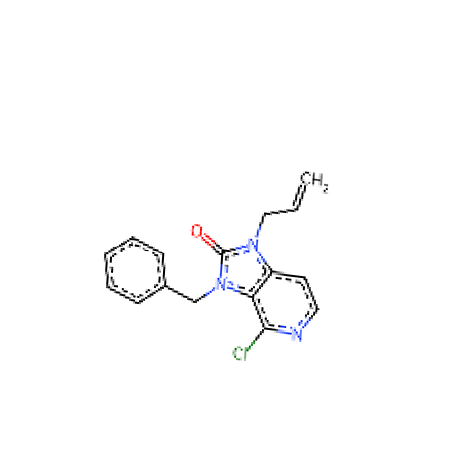 C=CCn1c(=O)n(Cc2ccccc2)c2c(Cl)nccc21